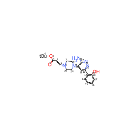 CC(C)(C)OC(=O)/C=C/N1CCN(c2cc(-c3ccccc3O)nnc2N)CC1